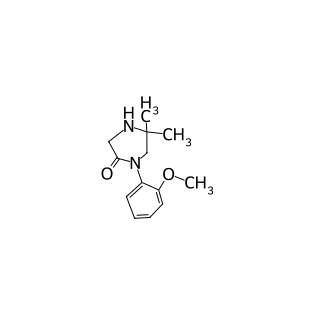 COc1ccccc1N1CC(C)(C)NCC1=O